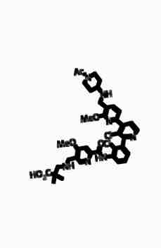 COc1cc(C(=O)Nc2cccc(-c3nccc(-c4ccc(CNC5CCN(C(C)=O)CC5)c(OC)n4)c3Cl)c2Cl)ncc1CNCC(C)(C)C(=O)O